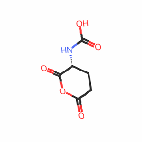 O=C(O)N[C@@H]1CCC(=O)OC1=O